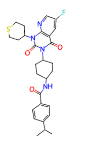 CC(C)c1ccc(C(=O)NC2CCC(n3c(=O)c4cc(F)cnc4n(C4CCSCC4)c3=O)CC2)cc1